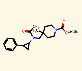 CC1(CN(C(=O)C(F)(F)F)[C@@H]2C[C@H]2c2ccccc2)CCN(C(=O)OC(C)(C)C)CC1